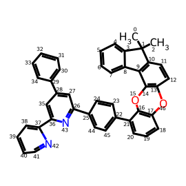 CC1(C)c2ccccc2-c2c1ccc1c2Oc2c(cccc2-c2ccc(-c3cc(-c4ccccc4)cc(-c4ccccn4)n3)cc2)O1